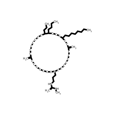 C=C1CCCCCCCC(CCC)C(CCCC)CCCC(CCCCCCCC)CCC(=C)CCCCCCCN(CCCNC(=C)NC)CCCCCCC1